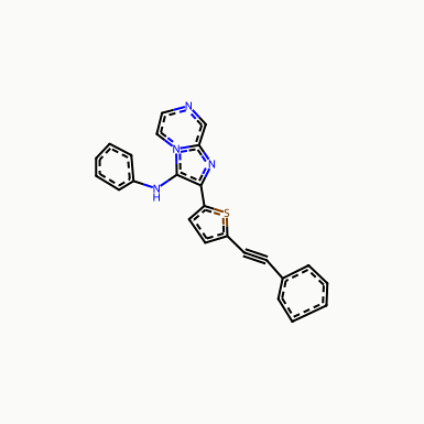 C(#Cc1ccc(-c2nc3cnccn3c2Nc2ccccc2)s1)c1ccccc1